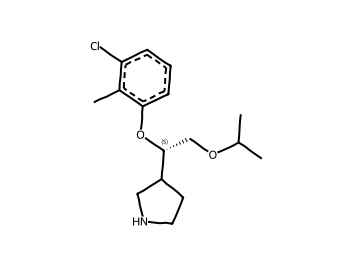 Cc1c(Cl)cccc1O[C@H](COC(C)C)C1CCNC1